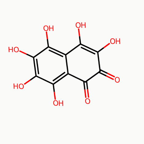 O=C1C(=O)c2c(O)c(O)c(O)c(O)c2C(O)=C1O